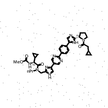 CCCN(Cc1nc(-c2cnc(-c3ccc(-c4cnc([C@@H]5CCCN5C(=O)CC5CC5)[nH]4)cc3)nc2)c[nH]1)C(=O)[C@@H](NC(=O)OC)C1CC1